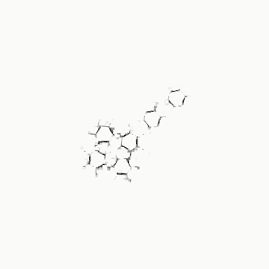 Fc1c(F)c(F)c([B-](c2c(F)c(F)c(F)c(F)c2F)(c2c(F)c(F)c(F)c(F)c2F)c2c(F)c(F)c(F)c(F)c2F)c(F)c1F.c1ccc([I+]c2ccccc2)cc1